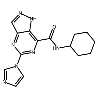 O=C(NC1CCCCC1)c1nc(-n2ccnc2)nc2cn[nH]c12